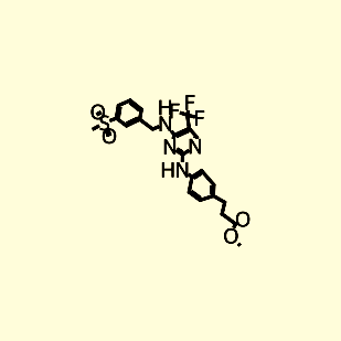 COC(=O)CCc1ccc(Nc2ncc(C(F)(F)F)c(NCc3cccc(S(C)(=O)=O)c3)n2)cc1